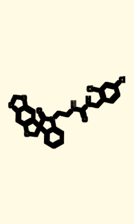 O=C(NCCN1C(=O)C2(COc3cc4c(cc32)OCO4)c2ccccc21)NCc1ccc(Cl)cc1Cl